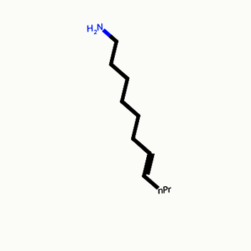 CCCC=CCCCCCCN